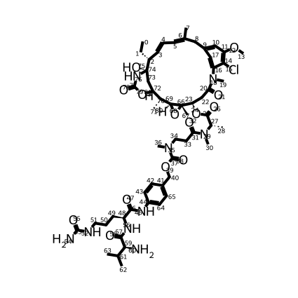 CC[C@@H]1/C=C/C=C(\C)Cc2cc(OC)c(Cl)c(c2)N(C)C(=O)C[C@H](OC(=O)[C@H](C)N(C)C(=O)CCN(C)C(=O)OCc2ccc(NC(=O)[C@H](CCCNC(N)=O)NC(=O)[C@@H](N)C(C)C)cc2)[C@]2(C)O[C@H]2[C@H](C)[C@@H]2C[C@@]1(O)NC(=O)O2